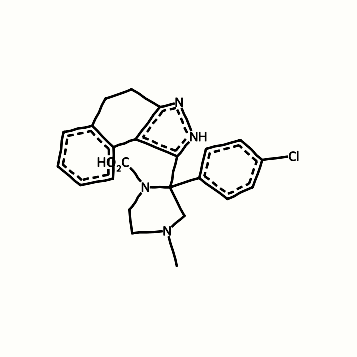 CN1CCN(C(=O)O)C(c2ccc(Cl)cc2)(c2[nH]nc3c2-c2ccccc2CC3)C1